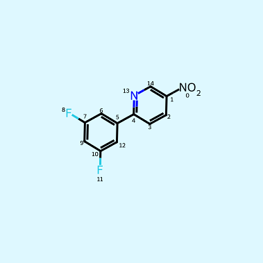 O=[N+]([O-])c1ccc(-c2cc(F)cc(F)c2)nc1